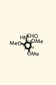 COc1cc(OC)c(NC=O)c(OC)c1